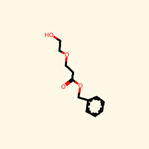 O=C(CCOCCO)OCc1ccccc1